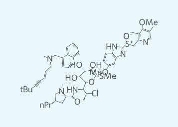 CCC[C@@H]1C[C@@H](C(=O)N[C@@H]([C@H]2O[C@H](SC)[C@H](O)[C@@H](O)[C@H]2O)[C@H](C)Cl)N(C)C1.CN(C/C=C/C#CC(C)(C)C)Cc1cccc2ccccc12.COc1ccc2[nH]c([S+]([O-])Cc3ncc(C)c(OC)c3C)nc2c1